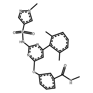 CNC(=O)c1cccc(Oc2cc(-c3c(C)cccc3C)nc(NS(=O)(=O)c3cnn(C)c3)n2)c1